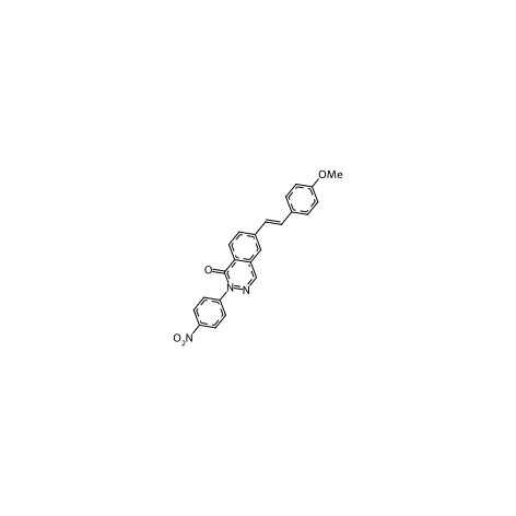 COc1ccc(C=Cc2ccc3c(=O)n(-c4ccc([N+](=O)[O-])cc4)ncc3c2)cc1